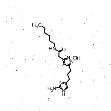 CCCCCCNC(=O)Cn1cc(CCCc2c[nH]c(N)n2)nn1.Cl